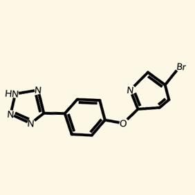 Brc1ccc(Oc2ccc(-c3nn[nH]n3)cc2)nc1